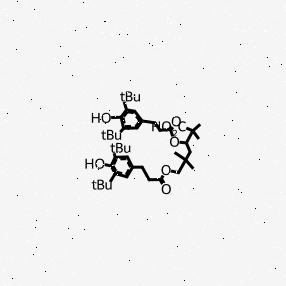 CC(C)(COC(=O)CCc1cc(C(C)(C)C)c(O)c(C(C)(C)C)c1)CC(OC(=O)CCc1cc(C(C)(C)C)c(O)c(C(C)(C)C)c1)C(C)(C)C(=O)O